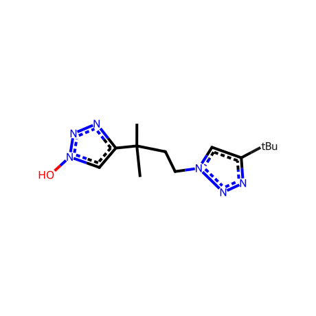 CC(C)(C)c1cn(CCC(C)(C)c2cn(O)nn2)nn1